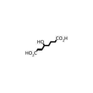 O=C(O)C=CC(O)CCCC(=O)O